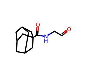 O=[C]CNC(=O)C12CC3CC(CC(C3)C1)C2